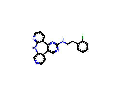 Fc1ccccc1CCNc1ncc2c(n1)-c1cccnc1Nc1cnccc1-2